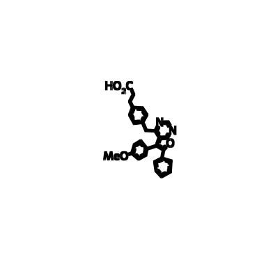 COc1ccc(-c2c(-c3ccccc3)oc3ncnc(Cc4ccc(CCC(=O)O)cc4)c23)cc1